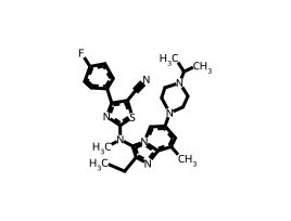 CCc1nc2c(C)cc(N3CCN(C(C)C)CC3)cn2c1N(C)c1nc(-c2ccc(F)cc2)c(C#N)s1